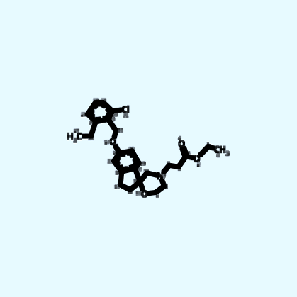 CCOC(=O)CCN1CCOC2(CCc3cc(OCc4c(Cl)cccc4CC)ccc32)C1